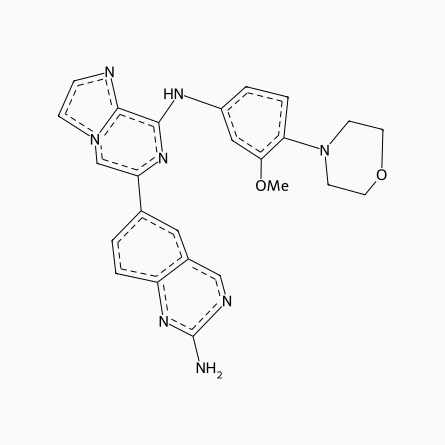 COc1cc(Nc2nc(-c3ccc4nc(N)ncc4c3)cn3ccnc23)ccc1N1CCOCC1